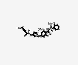 COc1ccccc1S(=O)(=O)Nc1noc2cc(Cn3cc(CNC(=O)C#CCO)cn3)cc(OC)c12